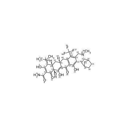 CN(C)[C@@H]1C(O)=C(C(N)=O)C(=O)[C@@]2(O)C(O)=C3C(=O)c4c(O)cc(CN(C)[C@H]5CC6CCC5C6)c(C(F)(F)F)c4C[C@H]3C[C@@H]12